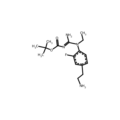 CCN(C(N)=NC(=O)OC(C)(C)C)c1ccc(CCN)cc1F